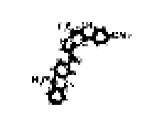 COc1ccc(-c2nc3c(C(=O)N4CCN([C@@H](C)c5ccccc5C#N)CC4)cnn3c(C(F)(F)F)c2C)cc1